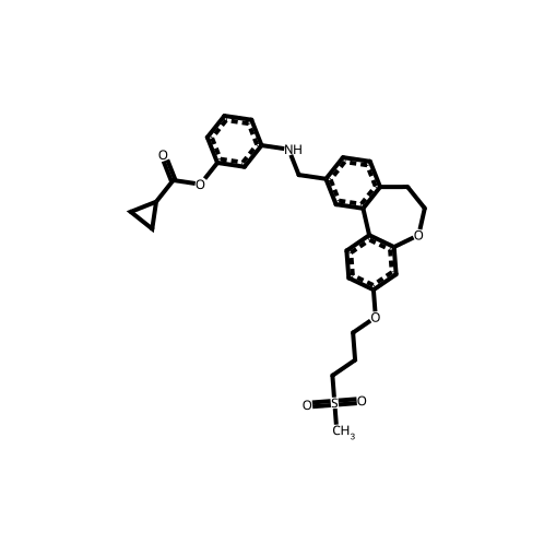 CS(=O)(=O)CCCOc1ccc2c(c1)OCCc1ccc(CNc3cccc(OC(=O)C4CC4)c3)cc1-2